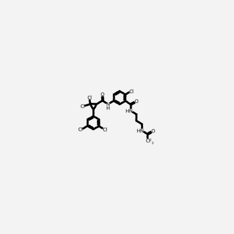 O=C(NCCCNC(=O)C(F)(F)F)c1cc(NC(=O)C2C(c3cc(Cl)cc(Cl)c3)C2(Cl)Cl)ccc1Cl